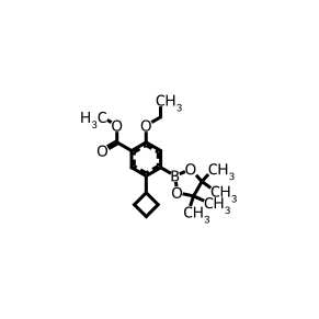 CCOc1cc(B2OC(C)(C)C(C)(C)O2)c(C2CCC2)cc1C(=O)OC